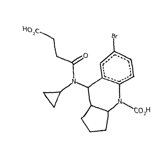 O=C(O)CCC(=O)N(C1CC1)C1c2cc(Br)ccc2N(C(=O)O)C2CCCC21